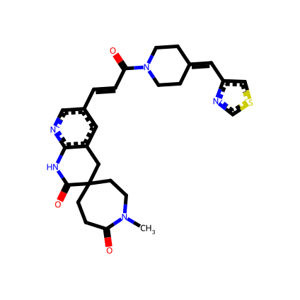 CN1CCC2(CCC1=O)Cc1cc(C=CC(=O)N3CCC(=Cc4cscn4)CC3)cnc1NC2=O